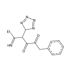 CCC(=N)C(C(=O)C(=O)Cc1ccccc1)C1N=NN=N1